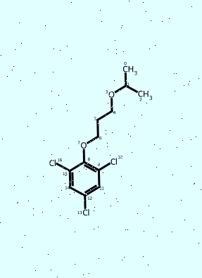 CC(C)OCCCOc1c(Cl)cc(Cl)cc1Cl